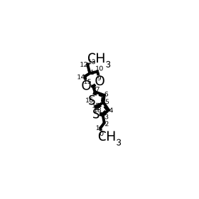 CCCc1cc2cc(C3OCC(CC)CO3)sc2s1